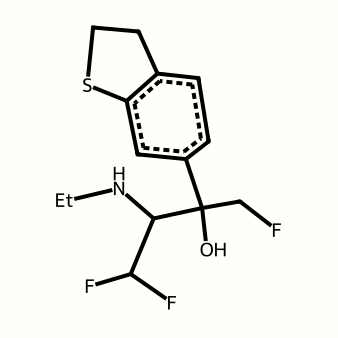 CCNC(C(F)F)C(O)(CF)c1ccc2c(c1)SCC2